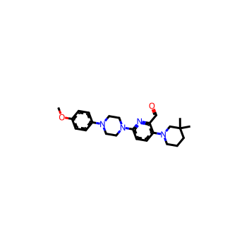 COc1ccc(N2CCN(c3ccc(N4CCCC(C)(C)C4)c(C=O)n3)CC2)cc1